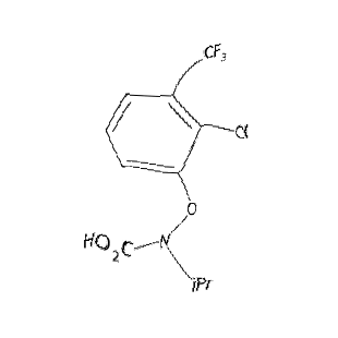 CC(C)N(Oc1cccc(C(F)(F)F)c1Cl)C(=O)O